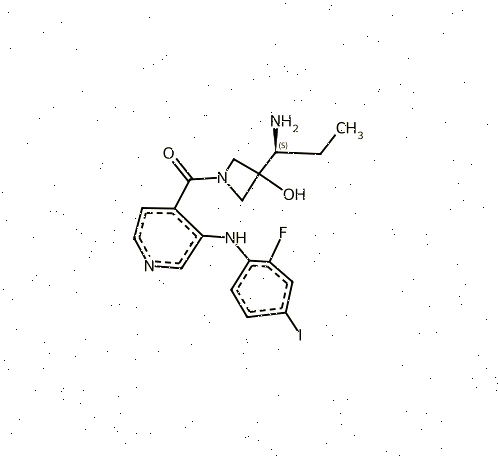 CC[C@H](N)C1(O)CN(C(=O)c2ccncc2Nc2ccc(I)cc2F)C1